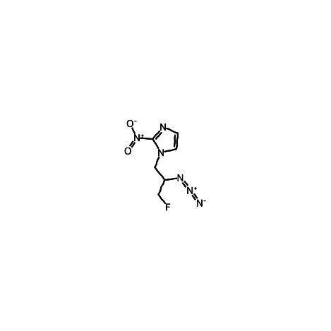 [N-]=[N+]=NC(CF)Cn1ccnc1[N+](=O)[O-]